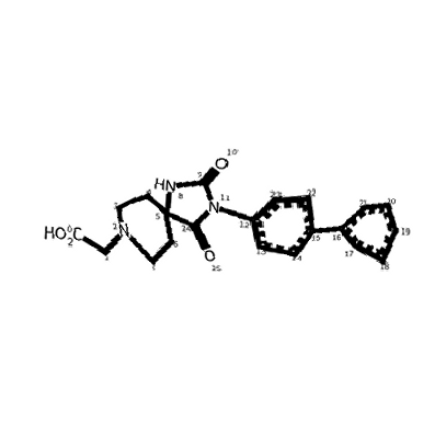 O=C(O)CN1CCC2(CC1)NC(=O)N(c1ccc(-c3ccccc3)cc1)C2=O